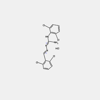 Cl.N/C(=N\N=C\c1c(Cl)cccc1Cl)Nc1c(Cl)cccc1Cl